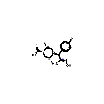 C[C@@H]1CN(C(=O)O)[C@@H](C)CN1C(/C(N)=N/O)c1ccc(F)cc1